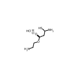 Cl.Cl.NCCOC(=O)CC(N)S